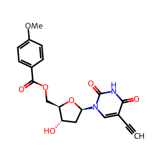 C#Cc1cn([C@H]2C[C@H](O)[C@@H](COC(=O)c3ccc(OC)cc3)O2)c(=O)[nH]c1=O